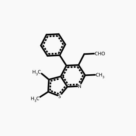 Cc1nc2sc(C)c(C)c2c(-c2ccccc2)c1CC=O